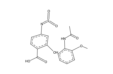 COc1ccccc1NC(C)=O.O=C(O)c1ccc(N=S(=O)=O)cc1O